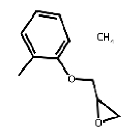 C.Cc1ccccc1OCC1CO1